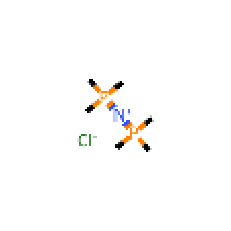 CP(C)(C)=[N+]=P(C)(C)C.[Cl-]